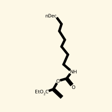 C=C(OC(=O)NCCCCCCCCCCCCCCCC)C(=O)OCC